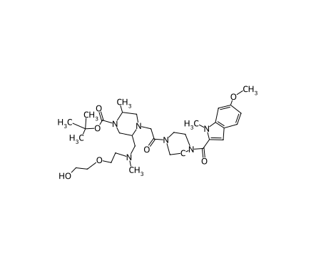 COc1ccc2cc(C(=O)N3CCN(C(=O)CN4CC(C)N(C(=O)OC(C)(C)C)CC4CN(C)CCOCCO)CC3)n(C)c2c1